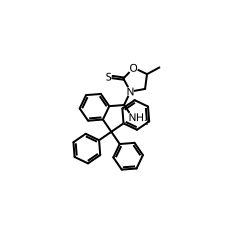 CC1CN(C(N)c2ccccc2C(c2ccccc2)(c2ccccc2)c2ccccc2)C(=S)O1